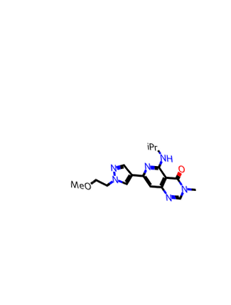 COCCn1cc(-c2cc3ncn(C)c(=O)c3c(NC(C)C)n2)cn1